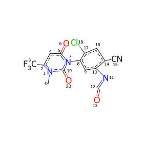 Cn1c(C(F)(F)F)cc(=O)n(-c2cc(N=C=O)c(C#N)cc2Cl)c1=O